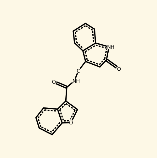 O=C(NCc1cc(=O)[nH]c2ccccc12)c1coc2ccccc12